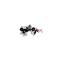 CC=C(O)C(CCC)O[C@H]1CC[C@H](n2c(=O)c(Cc3ccc(-c4ccccc4C4=NOC(O)N4)cc3F)c(CCC)n3ncnc32)CC1